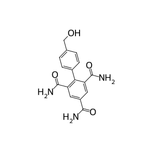 NC(=O)c1cc(C(N)=O)c(-c2ccc(CO)cc2)c(C(N)=O)c1